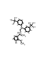 CCB(c1cccc(C(F)(F)F)c1)c1cccc(C(F)(F)F)c1.CCc1nc[nH]c1CC